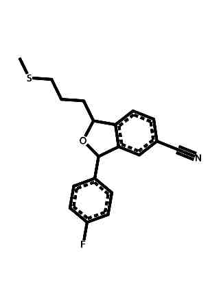 CSCCCC1OC(c2ccc(F)cc2)c2cc(C#N)ccc21